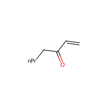 C=CC(=O)[CH]CCC